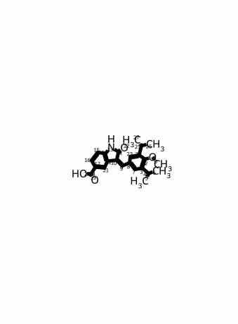 COc1c(C(C)C)cc(/C=C2\C(=O)Nc3ccc(C(=O)O)cc32)cc1C(C)C